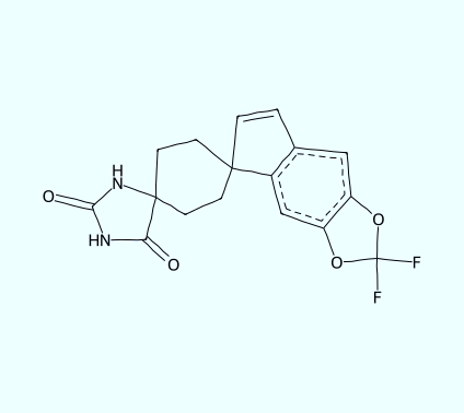 O=C1NC(=O)C2(CCC3(C=Cc4cc5c(cc43)OC(F)(F)O5)CC2)N1